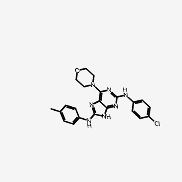 Cc1ccc(Nc2nc3c(N4CCOCC4)nc(Nc4ccc(Cl)cc4)nc3[nH]2)cc1